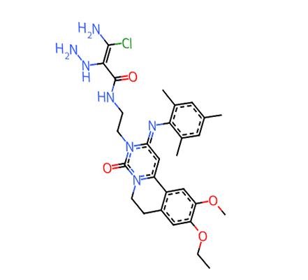 CCOc1cc2c(cc1OC)-c1c/c(=N\c3c(C)cc(C)cc3C)n(CCNC(=O)/C(NN)=C(/N)Cl)c(=O)n1CC2